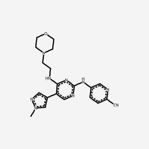 Cn1cc(-c2cnc(Nc3ccc(C#N)nc3)nc2NCCN2CCOCC2)cn1